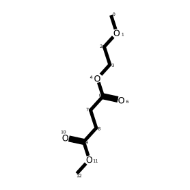 COCCOC(=O)CCC(=O)OC